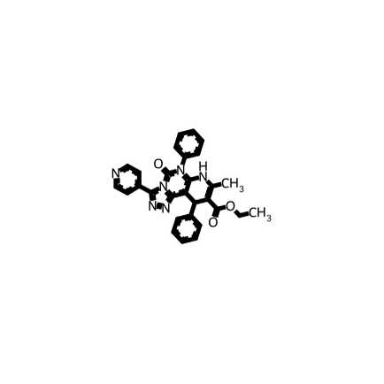 CCOC(=O)C1=C(C)Nc2c(c3nnc(-c4ccncc4)n3c(=O)n2-c2ccccc2)C1c1ccccc1